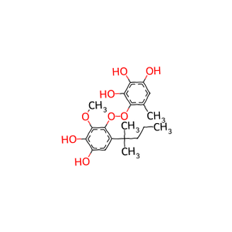 CCCC(C)(C)c1cc(O)c(O)c(OC)c1OOc1c(C)cc(O)c(O)c1O